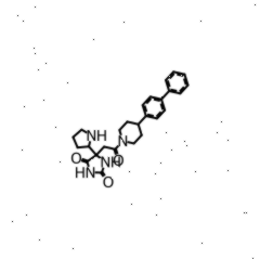 O=C1NC(=O)C(CC(=O)N2CCC(c3ccc(-c4ccccc4)cc3)CC2)(C2CCCN2)N1